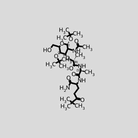 CC(=O)NC1[C@@H](OC(C)(C)C)OC(CO)[C@@H](OC(C)(C)C)[C@@H]1O[C@H](C)C(=O)N[C@@H](C)C(=O)NC(CCC(=O)C(C)(C)C)C(N)=O